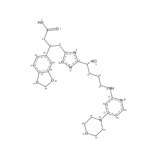 Cl.O=C(O)CC(Cc1nc(CCCCNc2cc(N3CCOCC3)ccn2)no1)c1ccc2c(c1)OCO2